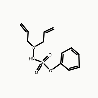 C=CCN(CC=C)NS(=O)(=O)Oc1ccccc1